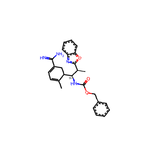 CC1=CC=C(C(=N)N)CC1[C@H](NC(=O)OCc1ccccc1)C(C)c1nc2ccccc2o1